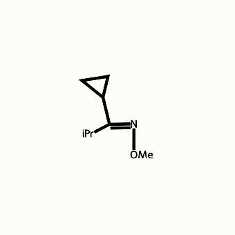 CON=C(C(C)C)C1CC1